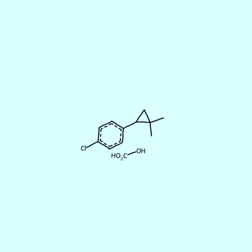 CC1(C)CC1c1ccc(Cl)cc1.O=C(O)O